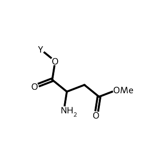 COC(=O)CC(N)C(=O)[O][Y]